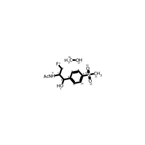 CC(=O)NC(CF)C(O)c1ccc(S(C)(=O)=O)cc1.CO